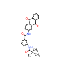 CCC(C)(C)C(=O)Nc1cccc(C(=O)Nc2ccc3c(c2)C(=O)c2ccccc2C3=O)c1